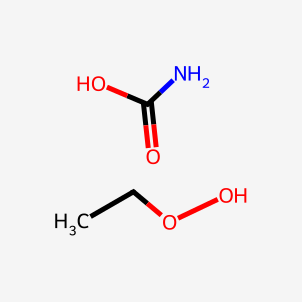 CCOO.NC(=O)O